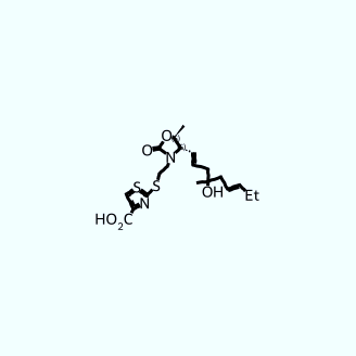 CCC=CCC(C)(O)CC=C[C@H]1[C@H](C)OC(=O)N1CCSc1nc(C(=O)O)cs1